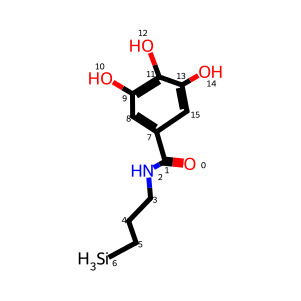 O=C(NCCC[SiH3])c1cc(O)c(O)c(O)c1